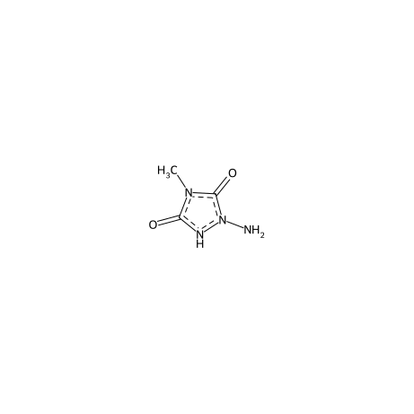 Cn1c(=O)[nH]n(N)c1=O